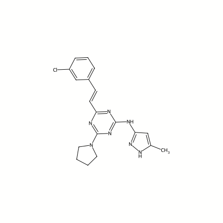 Cc1cc(Nc2nc(/C=C/c3cccc(Cl)c3)nc(N3CCCC3)n2)n[nH]1